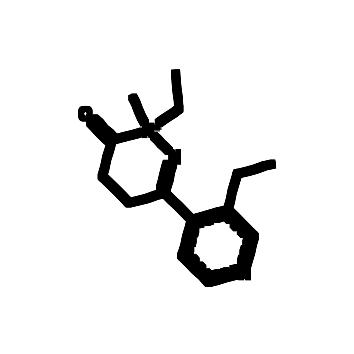 CCc1cnccc1C1=N[N+](C)(CC)C(=O)CC1